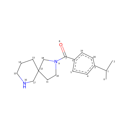 CC(C)c1ccc(C(=O)N2CCC3(CCCNC3)C2)cc1